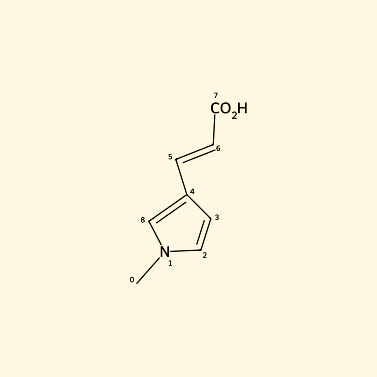 Cn1ccc(/C=C/C(=O)O)c1